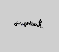 Cc1ccc(-c2cc(C(F)(F)F)nn2-c2ccc(S(=O)(=O)NC(=O)OC3CN(/[N+]([O-])=N\OC(C)OC(=O)c4ccccc4)C3)cc2)cc1